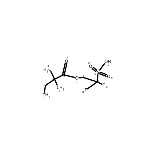 CCC(C)(C)C(=O)OCC(F)(F)S(=O)(=O)O